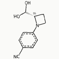 N#Cc1ccc(N2CC[C@H]2C(O)O)cc1